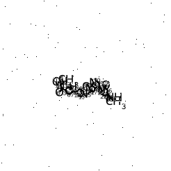 CCN(CC)C(=O)c1ccc(C2CCN(Cc3cc4c(-n5ccc(NC)cc5=O)ccnc4n3C)CC2)cc1